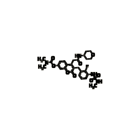 CNS(=O)(=O)Nc1cccc(Cc2c(CC(=O)NC3CCOCC3)c3ccc(OC(=O)N(C)C)cc3oc2=O)c1F